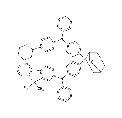 CC1(C)c2ccccc2-c2ccc(N(c3ccccc3)c3ccc(C4(c5ccc(N(c6ccccc6)c6ccc(C7CCCCC7)cc6)cc5)C5CC6CC(C5)CC4C6)cc3)cc21